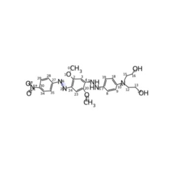 COc1cc(NNc2ccc(N(CCO)CCO)cc2)c(OC)cc1/N=N/c1ccc([N+](=O)[O-])cc1